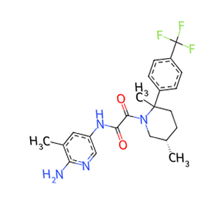 Cc1cc(NC(=O)C(=O)N2C[C@@H](C)CCC2(C)c2ccc(C(F)(F)F)cc2)cnc1N